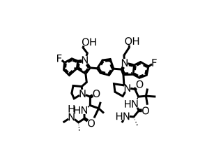 CN[C@@H](C)C(=O)N[C@H](C(=O)N1CCCC1Cc1c(-c2ccc(-c3c(C4CCCN4C(=O)[C@@H](NC(=O)[C@H](C)NC)C(C)(C)C)c4ccc(F)cc4n3CCO)cc2)n(CCO)c2cc(F)ccc12)C(C)(C)C